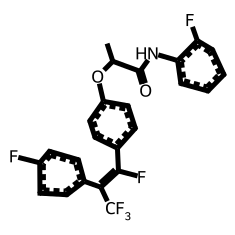 CC(Oc1ccc(C(F)=C(c2ccc(F)cc2)C(F)(F)F)cc1)C(=O)Nc1ccccc1F